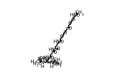 CC(=O)NCCOCCOCCC(=O)CCCOCCOCCC(=O)NCCCCC(C=O)NC(=O)CCCC(=O)NCCC(CCNC(C)(C)/C(C)=N\O)CCNC(C)(C)/C(C)=N\O